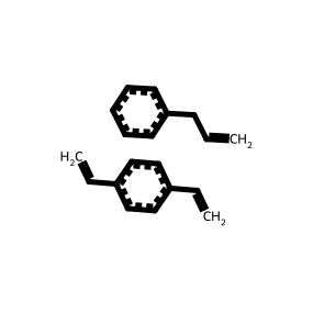 C=CCc1ccccc1.C=Cc1ccc(C=C)cc1